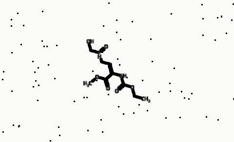 CCOC(=O)NC(=CC[PH](=O)CO)C(=O)OC